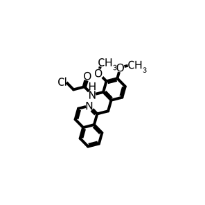 COc1ccc(Cc2nccc3ccccc23)c(NC(=O)CCl)c1OC